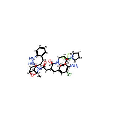 Nc1c(Cl)cc(CC(CC(=O)N2CCC3O[C@H]2C3C2CCc3ccccc3NN2)C(=O)N2CCC(N3CCCC3)CC2)cc1C(F)(F)F